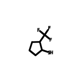 FC(F)(F)C1CCCC1S